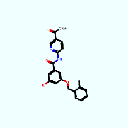 COC(=O)c1ccc(NC(=O)c2cc(O)cc(OCc3ccccc3C)c2)nc1